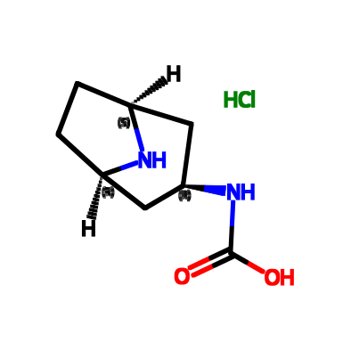 Cl.O=C(O)N[C@H]1C[C@H]2CC[C@@H](C1)N2